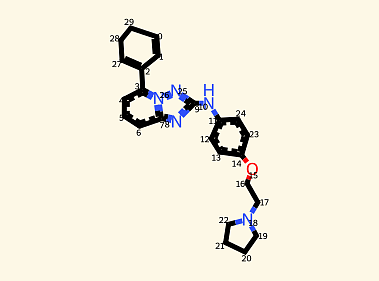 C1=CC(c2cccc3nc(Nc4ccc(OCCN5CCCC5)cc4)nn23)=CCC1